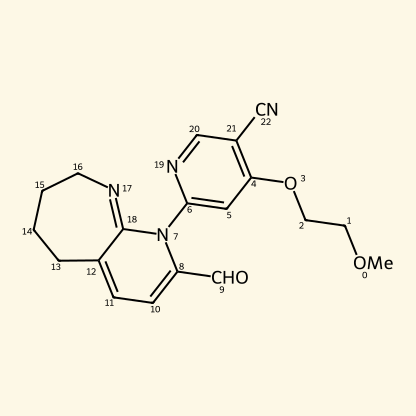 COCCOc1cc(N2C(C=O)=CC=C3CCCCN=C32)ncc1C#N